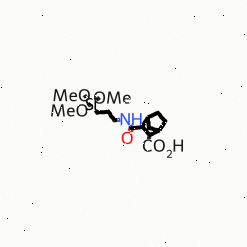 CO[Si](CCCNC(=O)C1C2CCC(C2)C1C(=O)O)(OC)OC